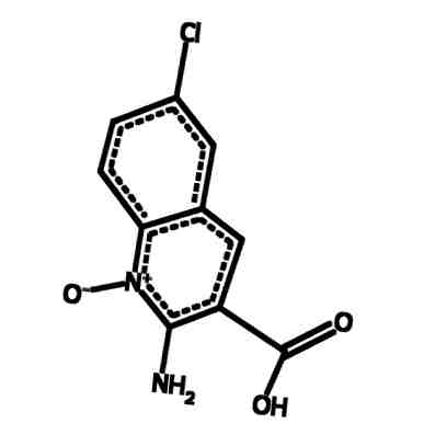 Nc1c(C(=O)O)cc2cc(Cl)ccc2[n+]1[O-]